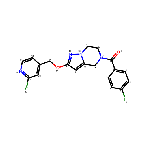 O=C(c1ccc(F)cc1)N1CCn2nc(OCc3ccnc(Cl)c3)cc2C1